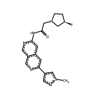 Cn1cc(-c2cc3cc(NC(=O)CN4CC[C@@H](F)C4)ncc3cn2)cn1